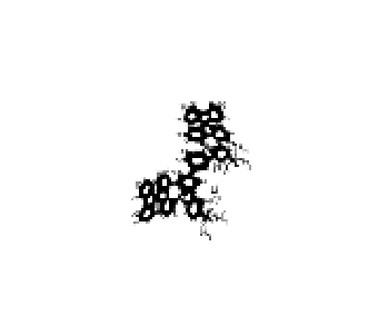 CC(C)(C)c1ccc2c(c1)c1cc(-c3ccc4c(c3)c3cc(C(C)(C)C)ccc3n4-c3cccc4c3-c3ccccc3C43c4ccccc4-c4ccccc43)ccc1n2-c1cccc2c1-c1ccccc1C21c2ccccc2-c2ccccc21